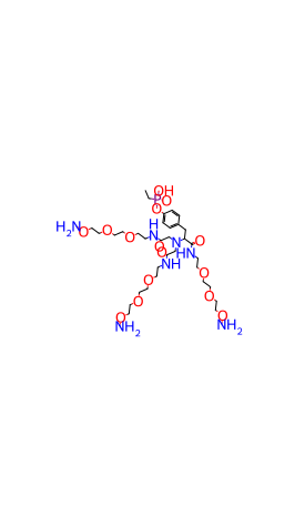 CCP(=O)(O)Oc1ccc(CC(C(=O)NCCOCCOCCON)N(CC(=O)NCCOCCOCCON)CC(=O)NCCOCCOCCON)cc1